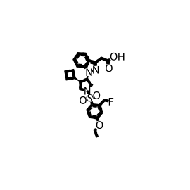 CCOc1ccc(S(=O)(=O)N2C[C@@H](C3CCC3)[C@@H](n3nc(CC(=O)O)c4ccccc43)C2)c(CF)c1